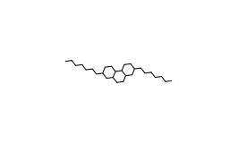 CCCCCCCC1CCC2C(CCC3CC(CCCCCCC)CCC32)C1